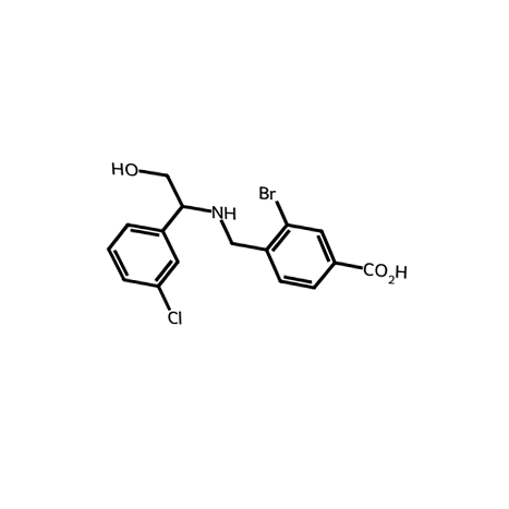 O=C(O)c1ccc(CNC(CO)c2cccc(Cl)c2)c(Br)c1